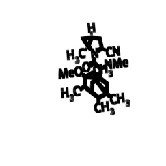 CN[C@H](C(=O)N1[C@H](C#N)C[C@@H]2C[C@@]21C)C12CC3C(C)C(C)(C1)C(C)C(OC)(C2)C3C